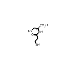 O=C(CCS)N[C@@H](CS)C(=O)O